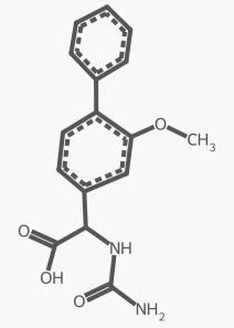 COc1cc(C(NC(N)=O)C(=O)O)ccc1-c1ccccc1